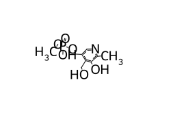 COP(=O)(O)OCc1cnc(C)c(O)c1CO